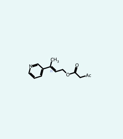 CC(=O)CC(=O)OC/C=C(\C)c1cccnc1